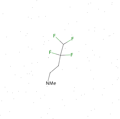 CNCCC(F)(F)C(F)F